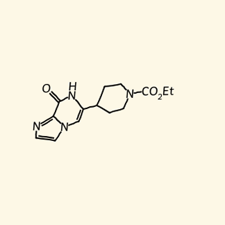 CCOC(=O)N1CCC(c2cn3ccnc3c(=O)[nH]2)CC1